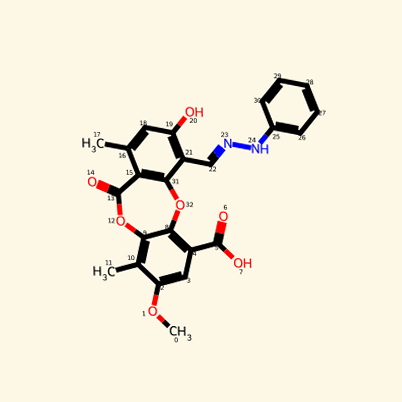 COc1cc(C(=O)O)c2c(c1C)OC(=O)c1c(C)cc(O)c(C=NNc3ccccc3)c1O2